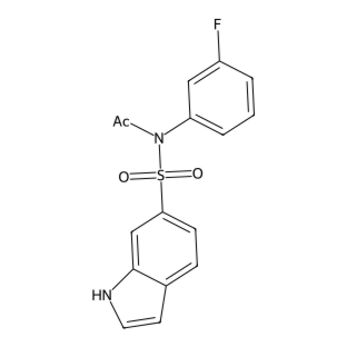 CC(=O)N(c1cccc(F)c1)S(=O)(=O)c1ccc2cc[nH]c2c1